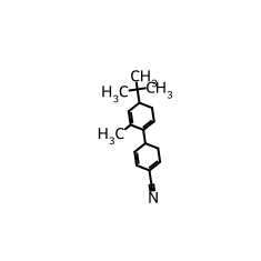 CC1=CC(C(C)(C)C)CC=C1C1C=CC(C#N)=CC1